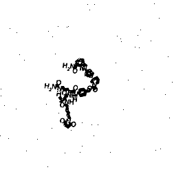 CC(C)[C@H](NC(=O)CCCCCN1C(=O)C=CC1=O)C(=O)N[C@@H](CCCNC(N)=O)C(=O)Nc1ccc(COC(=O)N2CCC[C@@H](c3ccc(-n4cc5cccc(C(N)=O)c5n4)cc3)C2)cc1